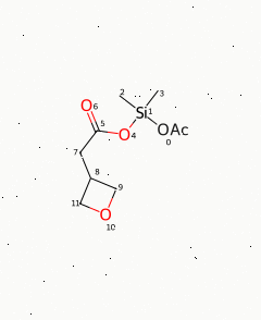 CC(=O)O[Si](C)(C)OC(=O)CC1COC1